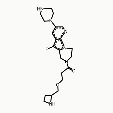 O=C(CCOCC1CCN1)N1CCn2c(c(F)c3cc(N4CCNCC4)cnc32)C1